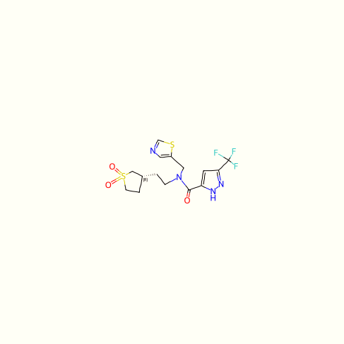 O=C(c1cc(C(F)(F)F)n[nH]1)N(CC[C@@H]1CCS(=O)(=O)C1)Cc1cncs1